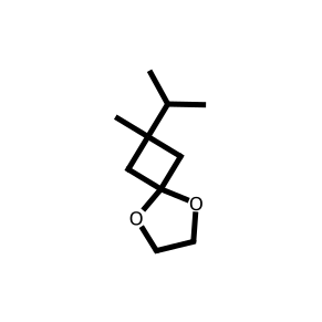 CC(C)C1(C)CC2(C1)OCCO2